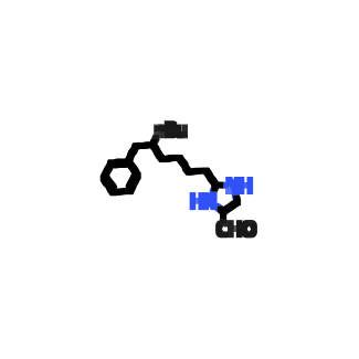 CCCCC(CCCCC1NCC(C=O)N1)Cc1ccccc1